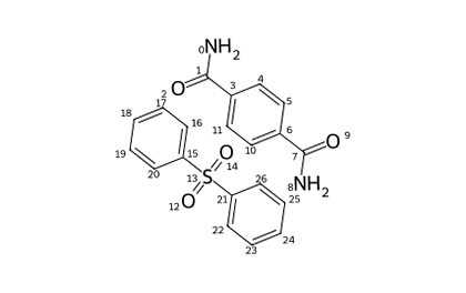 NC(=O)c1ccc(C(N)=O)cc1.O=S(=O)(c1ccccc1)c1ccccc1